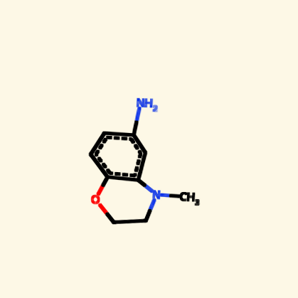 CN1CCOc2ccc(N)cc21